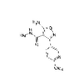 CCC(C)NC(=O)c1c(-c2ccc(OC)nc2)noc1N